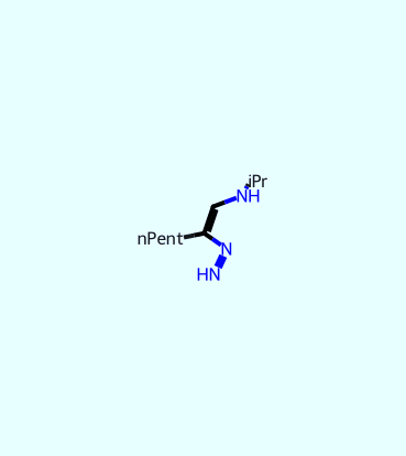 CCCCC/C(=C/NC(C)C)N=N